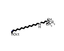 CCCCCCCC/C=C\CCCCCCCCCCCCNCCC[N+](C)(C)C